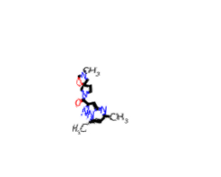 Cc1cc(C)n2nc(C(=O)N3CCC4(CN(C)CO4)C3)cc2n1